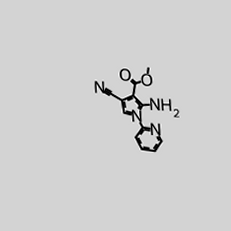 COC(=O)c1c(C#N)cn(-c2ccccn2)c1N